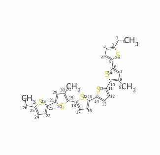 CCc1ccc(-c2cc(C)c(-c3ccc(-c4ccc(-c5sc(-c6ccc(CC)s6)cc5C)s4)s3)s2)s1